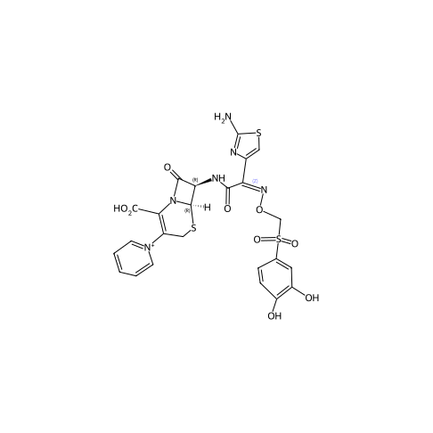 Nc1nc(/C(=N/OCS(=O)(=O)c2ccc(O)c(O)c2)C(=O)N[C@@H]2C(=O)N3C(C(=O)O)=C([n+]4ccccc4)CS[C@H]23)cs1